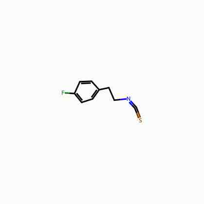 Fc1ccc(CCN=C=S)cc1